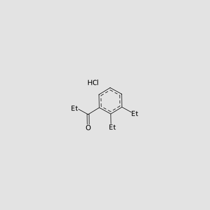 CCC(=O)c1cccc(CC)c1CC.Cl